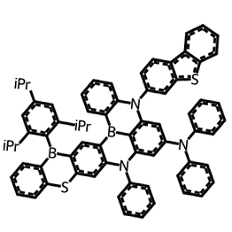 CC(C)c1cc(C(C)C)c(B2c3ccccc3Sc3cc4c(cc32)B2c3ccccc3N(c3ccc5c(c3)sc3ccccc35)c3cc(N(c5ccccc5)c5ccccc5)cc(c32)N4c2ccccc2)c(C(C)C)c1